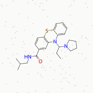 CCC(N1CCCC1)N1c2ccccc2Sc2ccc(C(=O)NCC(C)C)cc21